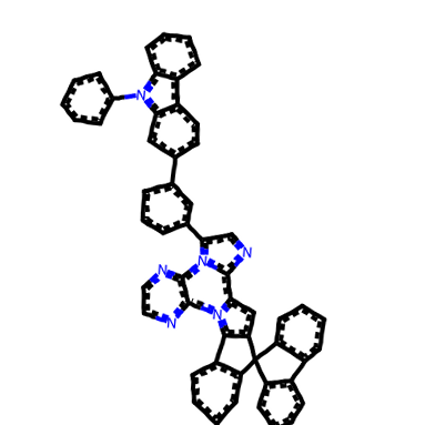 c1ccc(-n2c3ccccc3c3ccc(-c4cccc(-c5cnc6c7cc8c(n7c7nccnc7n56)-c5ccccc5C85c6ccccc6-c6ccccc65)c4)cc32)cc1